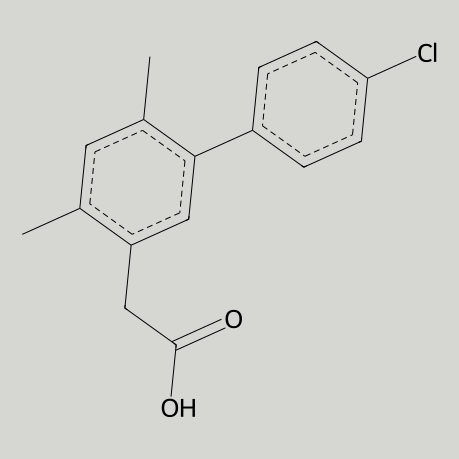 Cc1cc(C)c(-c2ccc(Cl)cc2)cc1CC(=O)O